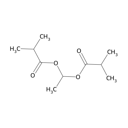 CC(OC(=O)C(C)C)OC(=O)C(C)C